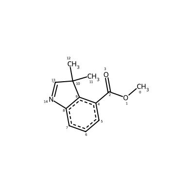 COC(=O)c1cccc2c1C(C)(C)[C]=N2